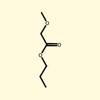 CC[CH]OC(=O)COC